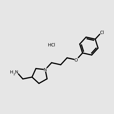 Cl.NCC1CCN(CCCOc2ccc(Cl)cc2)C1